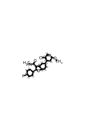 CNC(=O)c1c(-c2ccc(F)cc2)oc2ccc(-c3cc(OC)ncc3Cl)cc12